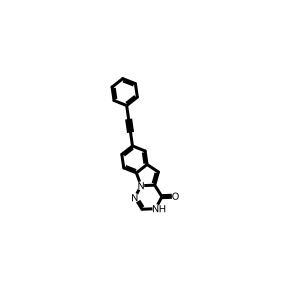 O=c1[nH]cnn2c1cc1cc(C#Cc3ccccc3)ccc12